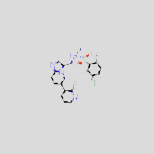 CN(/N=C/c1cnc2ccc(-c3cccnc3F)cn12)S(=O)(=O)c1cc(Cl)ccc1F